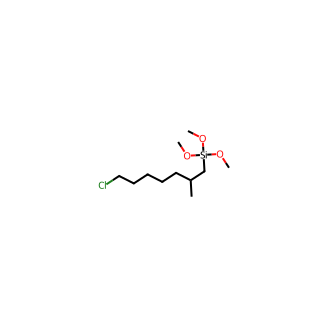 CO[Si](CC(C)CCCCCCl)(OC)OC